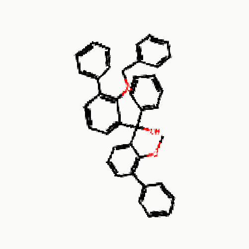 COc1c(-c2ccccc2)cccc1C(O)(c1ccccc1)c1cccc(-c2ccccc2)c1OCc1ccccc1